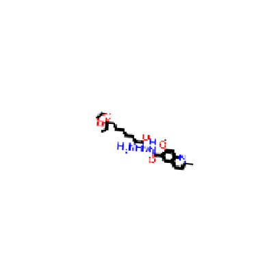 CCC1(CCCCC[C@H](N)C(=O)NNC(=O)c2cc3ccc(C)nc3cc2OC)OCCO1